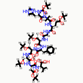 CC(C)[C@H](NC(=O)[C@H](CC(=O)OC(C)(C)C)NC(=O)[C@H](COC(C)(C)C)NC(=O)[C@@H](NC(=O)[C@H](Cc1ccccc1)NC(=O)[C@@H](NC(=O)CNC(=O)[C@H](CCC(=O)OC(C)(C)C)NC(=O)C(C)(C)NC(=O)[C@H](Cc1c[nH]cn1)NC(=O)OC(C)(C)C)[C@@H](C)OC(C)(C)C)[C@@H](C)OC(C)(C)C)C(=O)O